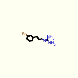 NC(N)=NC/C=C/c1cccc(Br)c1